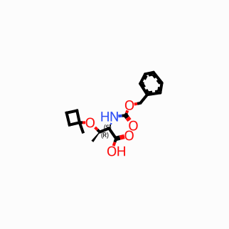 C[C@@H](OC1(C)CCC1)[C@H](NC(=O)OCc1ccccc1)C(=O)O